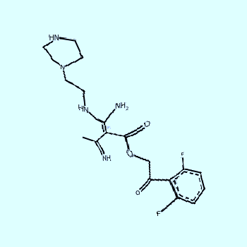 CC(=N)/C(C(=O)OCC(=O)c1c(F)cccc1F)=C(/N)NCCN1CCNCC1